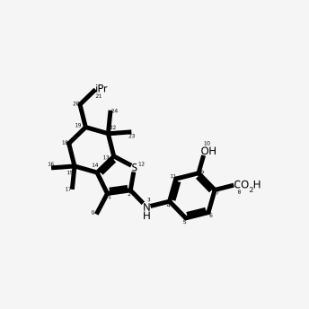 Cc1c(Nc2ccc(C(=O)O)c(O)c2)sc2c1C(C)(C)CC(CC(C)C)C2(C)C